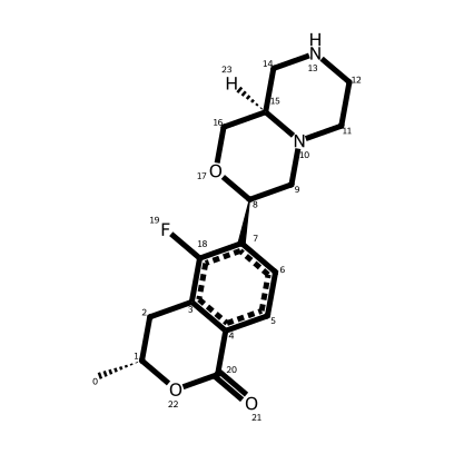 C[C@@H]1Cc2c(ccc([C@@H]3CN4CCNC[C@@H]4CO3)c2F)C(=O)O1